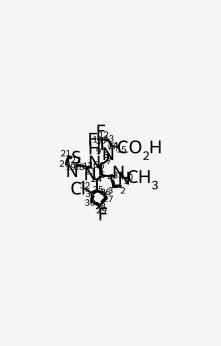 Cn1ccc(C2=C(CN3CC(F)(F)C[C@H]3C(=O)O)NC(c3nccs3)=NC2c2ccc(F)cc2Cl)n1